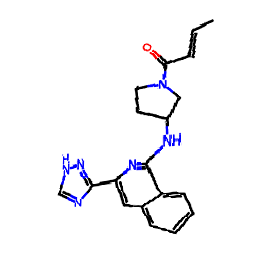 CC=CC(=O)N1CCC(Nc2nc(-c3nc[nH]n3)cc3ccccc23)C1